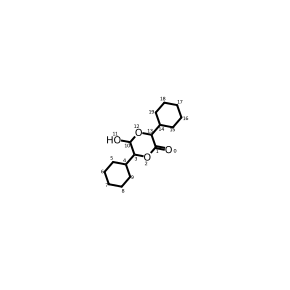 O=C1OC(C2CCCCC2)C(O)OC1C1CCCCC1